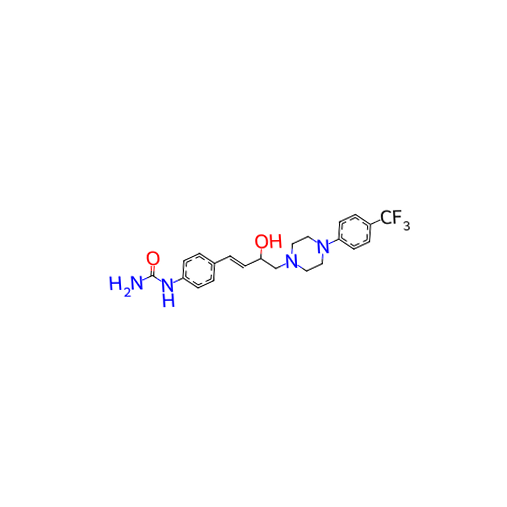 NC(=O)Nc1ccc(C=CC(O)CN2CCN(c3ccc(C(F)(F)F)cc3)CC2)cc1